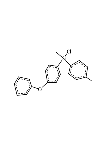 Cc1ccc([Si](C)(Cl)c2ccc(Oc3ccccc3)cc2)cc1